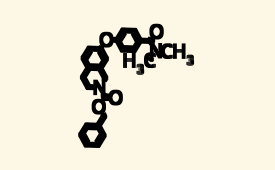 CN(C)C(=O)c1ccc(Oc2ccc3c(c2)CN(C(=O)OCc2ccccc2)CC3)cc1